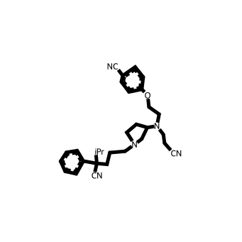 CC(C)C(C#N)(CCCN1CCC(N(CCC#N)CCOc2ccc(C#N)cc2)C1)c1ccccc1